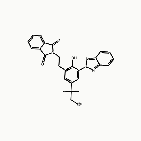 CC(C)(C)CC(C)(C)c1cc(CCN2C(=O)c3ccccc3C2=O)c(O)c(-n2nc3ccccc3n2)c1